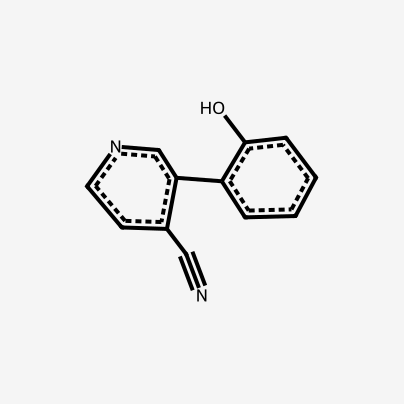 N#Cc1ccncc1-c1ccccc1O